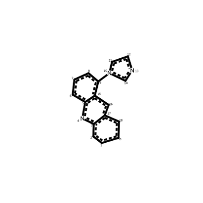 c1ccc2nc3cccc(-n4ccnc4)c3cc2c1